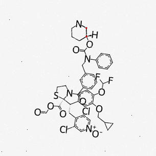 O=COC(=O)[C@]1([C@@H](Cc2c(Cl)c[n+]([O-])cc2Cl)c2ccc(OC(F)F)c(OCC3CC3)c2)SCCN1C(=O)c1cccc(CN(C(=O)O[C@H]2CN3CCC2CC3)c2ccccc2)c1